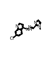 Cn1ccnc1C=NNc1ccnc2cc(Cl)ccc12